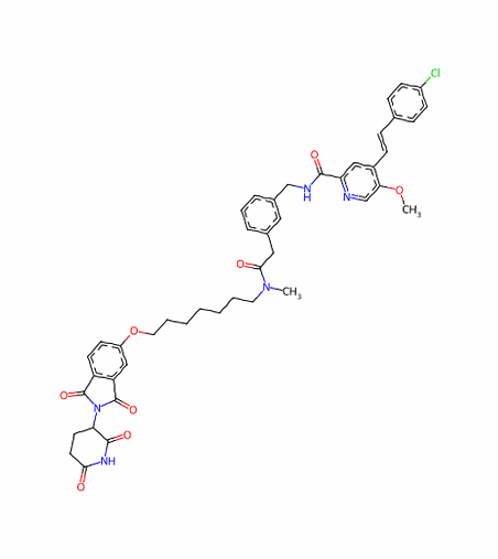 COc1cnc(C(=O)NCc2cccc(CC(=O)N(C)CCCCCCCOc3ccc4c(c3)C(=O)N(C3CCC(=O)NC3=O)C4=O)c2)cc1C=Cc1ccc(Cl)cc1